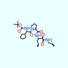 C=CCNC(=O)C(=O)C(CC=C)NC(=O)[C@@H]1CCCN1C(=O)C(NC(=O)OC(C)(C)C)C1CCCC1